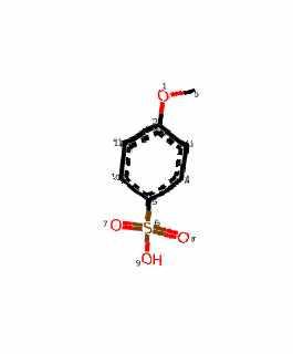 COc1[c]cc(S(=O)(=O)O)[c]c1